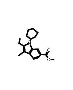 CCc1c(C)c2ccc(C(=O)OC)cc2n1C1CCCCC1